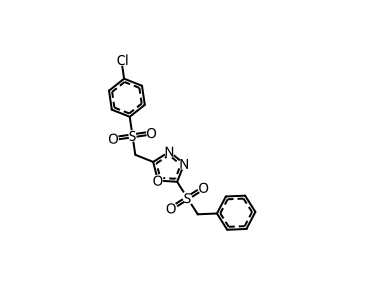 O=S(=O)(Cc1nnc(S(=O)(=O)Cc2ccccc2)o1)c1ccc(Cl)cc1